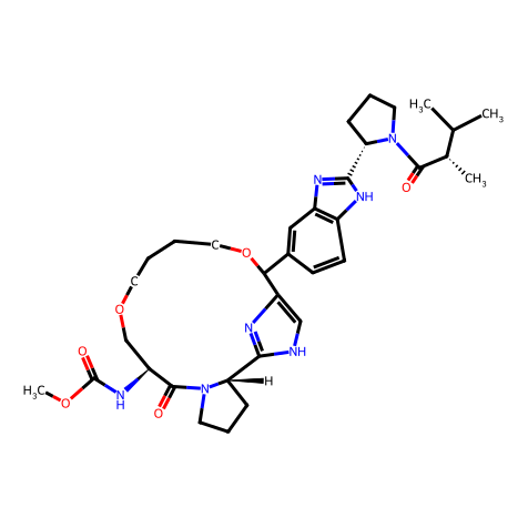 COC(=O)N[C@H]1COCCCCOC(c2ccc3[nH]c([C@@H]4CCCN4C(=O)[C@@H](C)C(C)C)nc3c2)c2c[nH]c(n2)[C@@H]2CCCN2C1=O